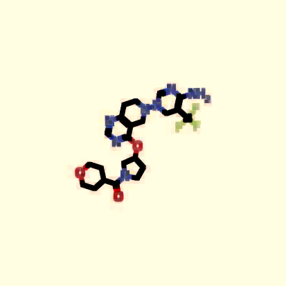 NC1=C(C(F)(F)F)CN(N2CCc3ncnc(OC4CCN(C(=O)C5CCOCC5)C4)c3C2)C=N1